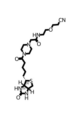 N#CCCOCCNC(=O)CN1CCN(C(=O)CCCC[C@@H]2SC[C@@H]3NC(=O)N[C@@H]32)CC1